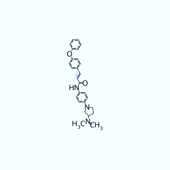 CN(C)C1CCN(c2ccc(NC(=O)/C=C/c3ccc(Oc4ccccc4)cc3)cc2)C1